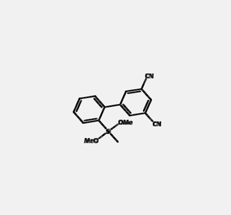 CO[Si](C)(OC)c1ccccc1-c1cc(C#N)cc(C#N)c1